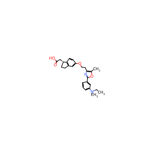 CCN(C)c1cccc(-c2nc(CCOc3ccc4c(c3)CC[C@H]4CC(=O)O)c(C)o2)c1